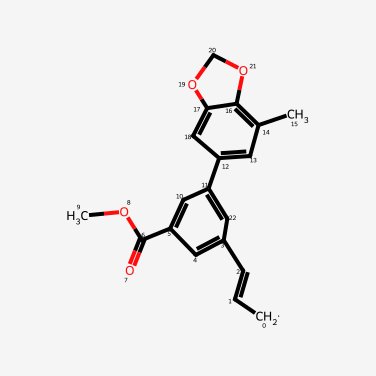 [CH2]C=Cc1cc(C(=O)OC)cc(-c2cc(C)c3c(c2)OCO3)c1